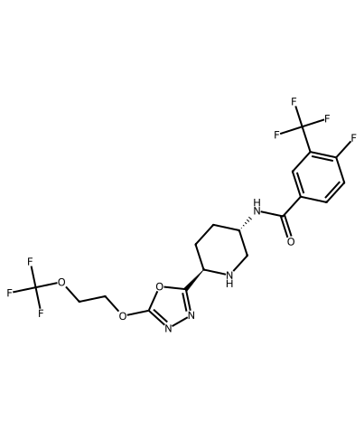 O=C(N[C@H]1CC[C@H](c2nnc(OCCOC(F)(F)F)o2)NC1)c1ccc(F)c(C(F)(F)F)c1